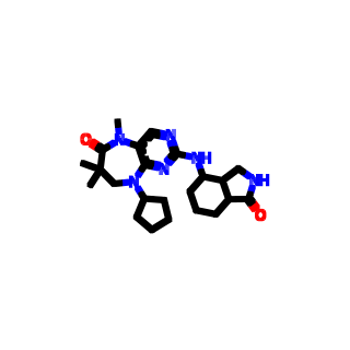 CN1C(=O)C(C)(C)CN(C2CCCC2)c2nc(NC3CCCC4C(=O)NCC34)ncc21